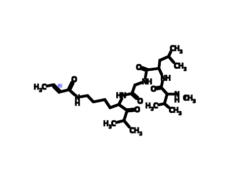 C/C=C/C(=O)NCCCCC(NC(=O)CNC(=O)C(CC(C)C)NC(=O)C(NC)C(C)C)C(=O)C(C)C